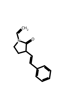 C=CN1CCC(C=Cc2ccccc2)C1=O